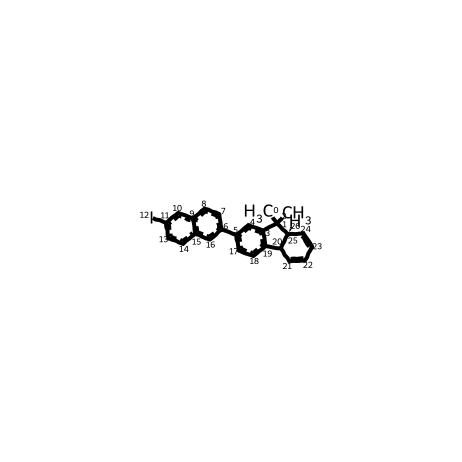 CC1(C)c2cc(-c3ccc4cc(I)ccc4c3)ccc2C2C=CC=C[C@@H]21